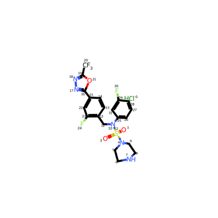 Cl.O=S(=O)(N1CCNCC1)N(Cc1ccc(-c2nnc(C(F)(F)F)o2)cc1F)c1cccc(F)c1